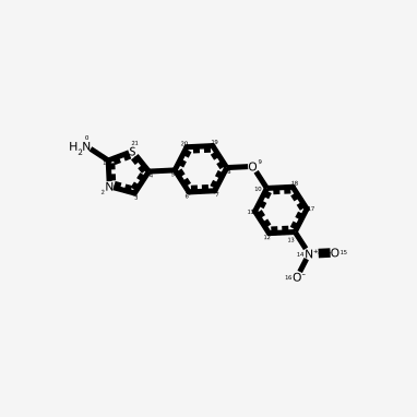 Nc1ncc(-c2ccc(Oc3ccc([N+](=O)[O-])cc3)cc2)s1